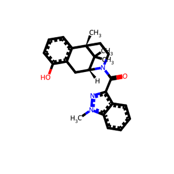 Cn1nc(C(=O)N2CC[C@@]3(C)c4cccc(O)c4C[C@@H]2C3(C)C)c2ccccc21